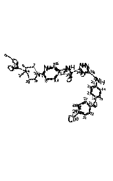 COC(=O)C1(C)CCN(c2ccc(NC(=O)c3nnc(Nc4ccc(Oc5ccc(Cl)cc5)cc4)o3)cn2)CC1